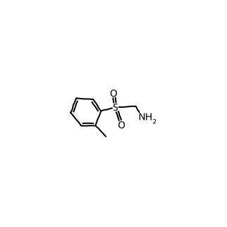 Cc1ccccc1S(=O)(=O)CN